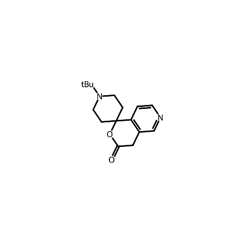 CC(C)(C)N1CCC2(CC1)OC(=O)Cc1cnccc12